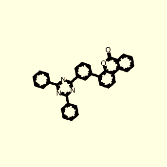 O=c1oc2c(-c3cccc(-c4nc(-c5ccccc5)nc(-c5ccccc5)n4)c3)cccc2c2ccccc12